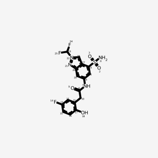 NS(=O)(=O)c1cc(NC(=O)Cc2cc(F)ccc2O)cc2nn(C(F)F)cc12